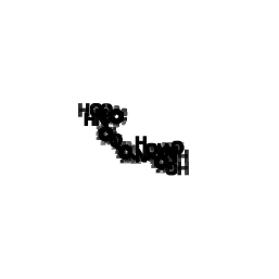 O=C(O)NC(c1ccccc1)c1cccc(OCc2ccc(CNC[C@H](O)c3ccc(O)c4[nH]c(=O)ccc34)cc2)c1